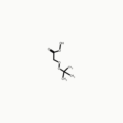 CC(C)(C)OOCC(=O)OO